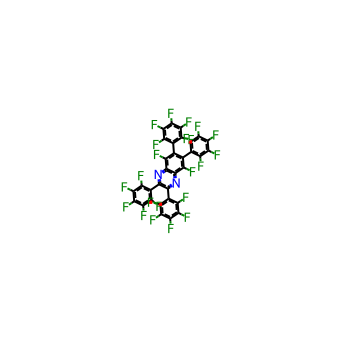 Fc1c(F)c(F)c(-c2nc3c(F)c(-c4c(F)c(F)c(F)c(F)c4F)c(-c4c(F)c(F)c(F)c(F)c4F)c(F)c3nc2-c2c(F)c(F)c(F)c(F)c2F)c(F)c1F